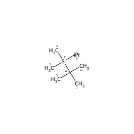 [CH2]C(C)[Si](C)(C)C(C)(C)C